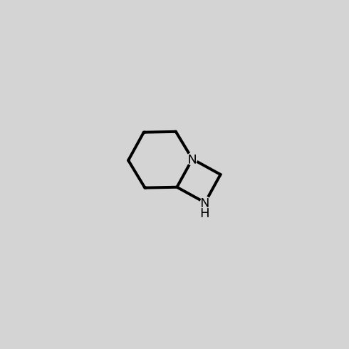 C1CCN2CNC2C1